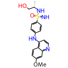 COc1ccc2c(Nc3ccc(S(=N)(=O)N[C@@H](C)CO)cc3)ccnc2c1